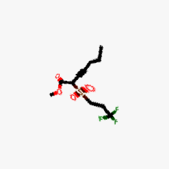 CCCC#CC(C(=O)OC)S(=O)(=O)CCC(F)(F)F